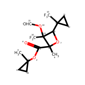 CC1(OC(=O)C2(C)OC(C3(C(F)(F)F)CC3)C2(O[C]=O)C(F)(F)F)CC1